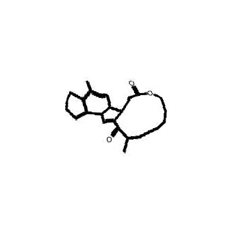 CC1=CC2C3CC(=O)OCCCCCC(C)C(=O)C3=CC2C2CCCC12